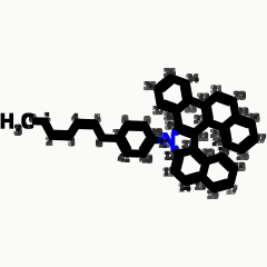 CC/C=C\C=C/Cc1ccc(-n2c3ccc4ccccc4c3c3c4c5ccccc5ccc4c4ccccc4c32)cc1